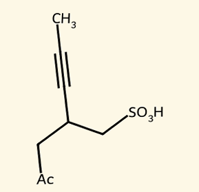 CC#CC(CC(C)=O)CS(=O)(=O)O